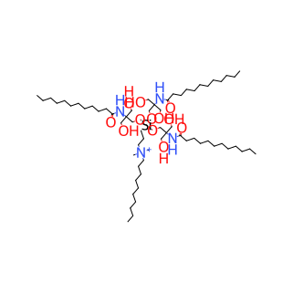 CCCCCCCCCCCC(=O)NC(CO)(CO)CO[Si](CCC[N+](C)(C)CCCCCCCCCC)(OCC(CO)(CO)NC(=O)CCCCCCCCCCC)OCC(CO)(CO)NC(=O)CCCCCCCCCCC